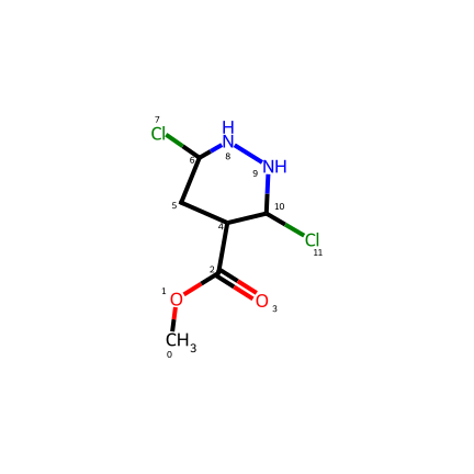 COC(=O)C1CC(Cl)NNC1Cl